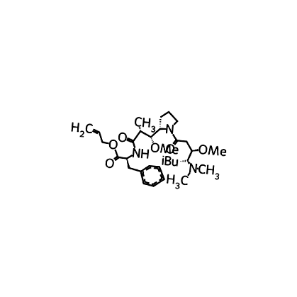 C=CCOC(=O)[C@H](Cc1ccccc1)NC(=O)[C@H](C)[C@@H](OC)[C@@H]1CCCN1C(=O)C[C@@H](OC)[C@H]([C@@H](C)CC)N(C)C